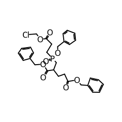 O=C(CCP(=O)(CC(CCC(=O)OCc1ccccc1)C(=O)OCc1ccccc1)OCc1ccccc1)OCCl